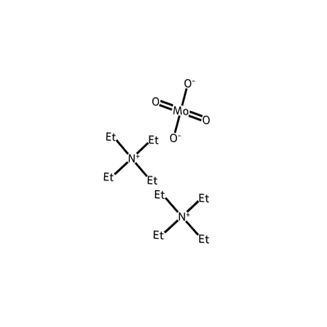 CC[N+](CC)(CC)CC.CC[N+](CC)(CC)CC.[O]=[Mo](=[O])([O-])[O-]